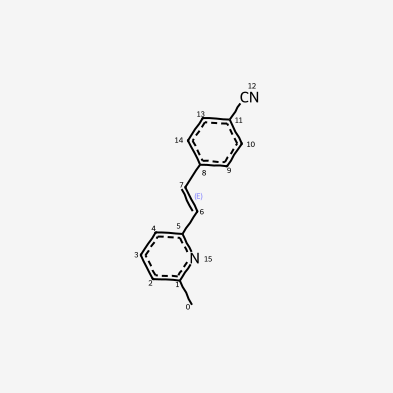 Cc1cccc(/C=C/c2ccc(C#N)cc2)n1